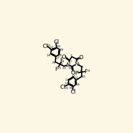 O=C1CC(=O)N(CC(F)(F)Cc2ccc(Cl)c(Cl)c2)C(=O)N1CC(F)(F)Cc1ccc(Cl)c(Cl)c1